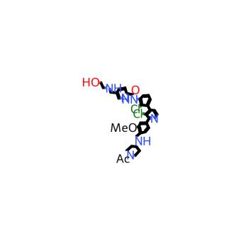 COc1cc(-c2nccc(-c3cccc(NC(=O)c4ccc(CNCCO)cn4)c3Cl)c2Cl)ccc1CNC1CCN(C(C)=O)CC1